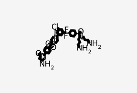 NCCCN(CCCN)C(=O)[C@H]1CC[C@H](C(F)(F)c2cc(Cl)nc(N3CCN(S(=O)(=O)c4ccc(N5C[C@H](N)CC5=O)cc4)CC3)c2)CC1